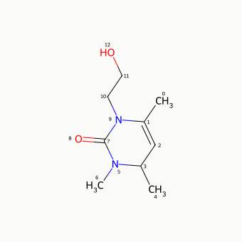 CC1=CC(C)N(C)C(=O)N1CCO